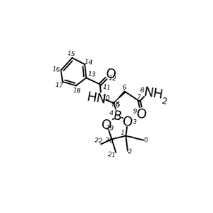 CC1(C)OB([C@H](CC(N)=O)NC(=O)c2ccccc2)OC1(C)C